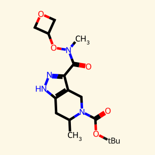 CC1Cc2[nH]nc(C(=O)N(C)OC3COC3)c2CN1C(=O)OC(C)(C)C